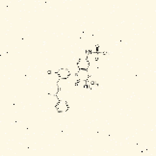 CC1(C)Oc2cc(NS(C)(=O)=O)ccc2N(c2ccc(Cl)c(COC(=O)c3ccccc3)c2)C1=O